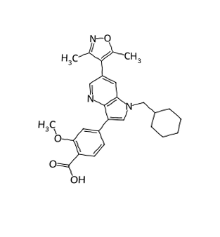 COc1cc(-c2cn(CC3CCCCC3)c3cc(-c4c(C)noc4C)cnc23)ccc1C(=O)O